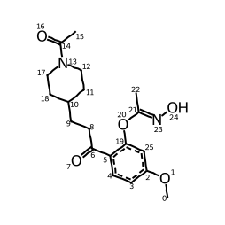 COc1ccc(C(=O)CCC2CCN(C(C)=O)CC2)c(OC(C)=NO)c1